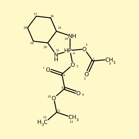 CC(=O)O[PH]1(OC(=O)C(=O)OC(C)C)NC2CCCCC2N1